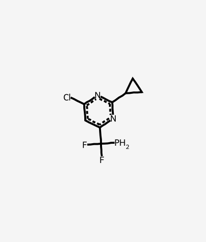 FC(F)(P)c1cc(Cl)nc(C2CC2)n1